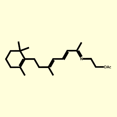 CC(=O)OCCN=C(C)C=CC=C(C)CCC1=C(C)CCCC1(C)C